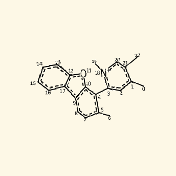 Cc1cc(-c2c(C)ccc3c2oc2ccccc23)[n+](C)cc1C